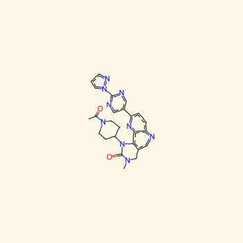 CC(=O)N1CCC(N2C(=O)N(C)Cc3cnc4ccc(-c5cnc(-n6cccn6)nc5)nc4c32)CC1